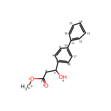 COC(=O)CC(O)c1ccc(-c2ccccc2)cc1